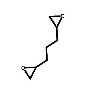 C(CC1CO1)CC1CO1